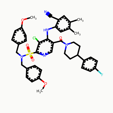 COc1ccc(CN(Cc2ccc(OC)cc2)S(=O)(=O)c2ncc(C(=O)N3CCC(c4ccc(F)cc4)CC3)c(Nc3cc(C)c(C)cc3C#N)c2Cl)cc1